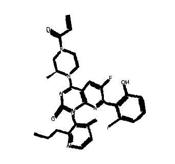 C=CC(=O)N1CCN(c2nc(=O)n(-c3c(C)ccnc3CCC)c3nc(-c4c(O)cccc4I)c(F)cc23)[C@@H](C)C1